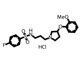 COc1ccccc1OC1CCN(CCCNS(=O)(=O)c2ccc(F)cc2)C1.Cl